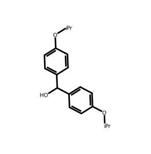 CC(C)Oc1ccc(C(O)c2ccc(OC(C)C)cc2)cc1